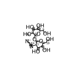 [N-]=[N+]=NC1[C@@H](O[C@H]2OC(CO)[C@@H](O)[C@@H](O)C2O)OC(CO)[C@@H](O)[C@@H]1O